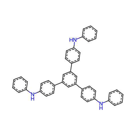 c1ccc(Nc2ccc(-c3cc(-c4ccc(Nc5ccccc5)cc4)cc(-c4ccc(Nc5ccccc5)cc4)c3)cc2)cc1